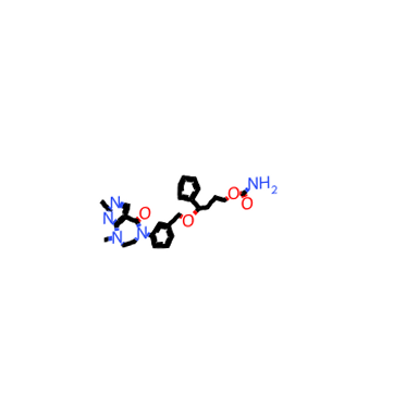 Cc1ncc2c(n1)N(C)CCN(c1cccc(COC(CCCOC(N)=O)c3ccccc3)c1)C2=O